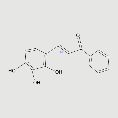 O=C(/C=C/c1ccc(O)c(O)c1O)c1ccccc1